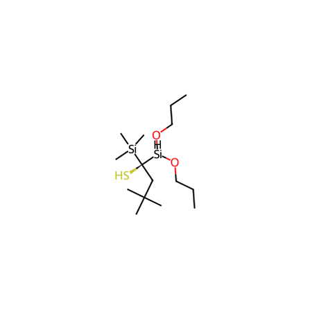 CCCO[SiH](OCCC)[C@](S)(CC(C)(C)C)[Si](C)(C)C